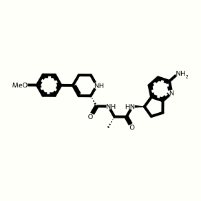 COc1ccc(C2=C[C@@H](C(=O)N[C@@H](C)C(=O)N[C@@H]3CCc4nc(N)ccc43)NCC2)cc1